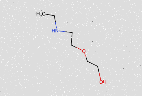 [CH2]CNCCOCCO